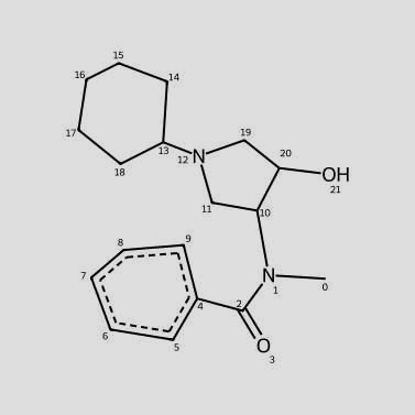 CN(C(=O)c1ccccc1)C1CN(C2CCCCC2)CC1O